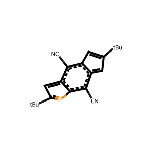 CC(C)(C)C1=Cc2c(C#N)c3c(c(C#N)c2=C1)P=C(C(C)(C)C)C=3